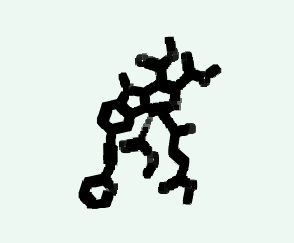 COC(=O)CCC(=O)N1C2=NC(C(=O)OC)=C(C(=O)OC)C3N(C)c4ccc(C#Cc5ccccn5)cc4[C@]23C[C@H]1C(=O)OC